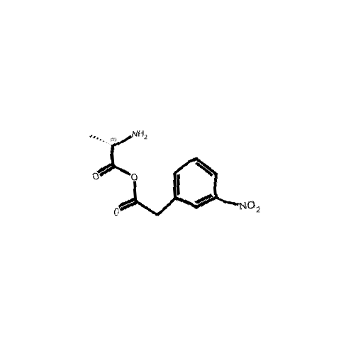 C[C@H](N)C(=O)OC(=O)Cc1cccc([N+](=O)[O-])c1